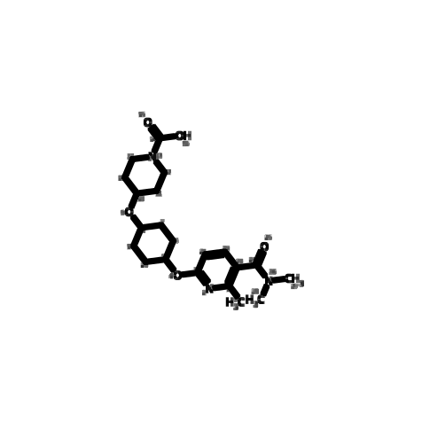 Cc1nc(OC2CCC(OC3CCN(C(=O)O)CC3)CC2)ccc1C(=O)N(C)C